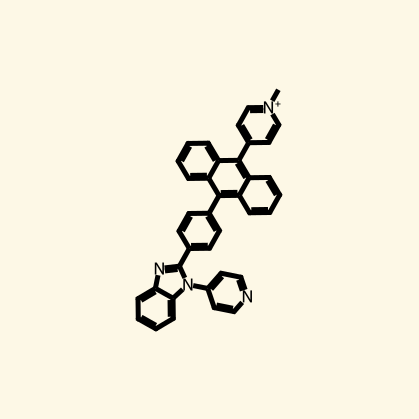 C[n+]1ccc(-c2c3ccccc3c(-c3ccc(-c4nc5ccccc5n4-c4ccncc4)cc3)c3ccccc23)cc1